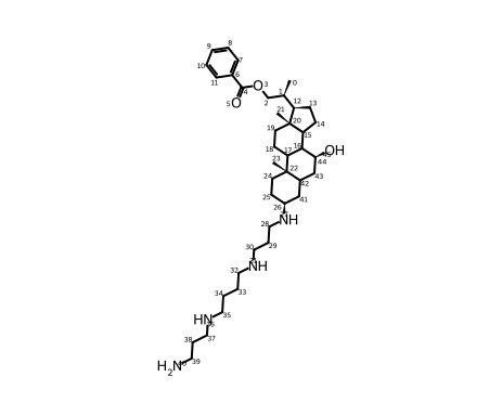 C[C@H](COC(=O)c1ccccc1)[C@H]1CCC2C3C(CC[C@@]21C)[C@@]1(C)CC[C@H](NCCCNCCCCNCCCN)CC1C[C@@H]3O